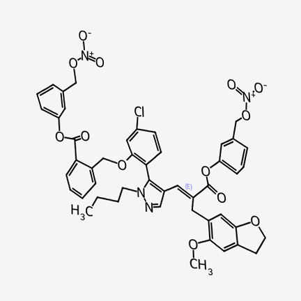 CCCCn1ncc(/C=C(\Cc2cc3c(cc2OC)CCO3)C(=O)Oc2cccc(CO[N+](=O)[O-])c2)c1-c1ccc(Cl)cc1OCc1ccccc1C(=O)Oc1cccc(CO[N+](=O)[O-])c1